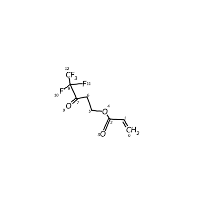 C=CC(=O)OCCC(=O)C(F)(F)C(F)(F)F